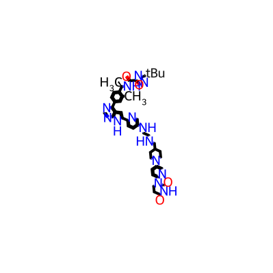 Cc1cc(-c2ncnc3[nH]c(-c4ccc(NCCNCC5CCN(c6ccc(N7CCC(=O)NC7=O)nc6)CC5)cn4)cc23)ccc1[C@@H](C)NC(=O)c1nc(C(C)(C)C)no1